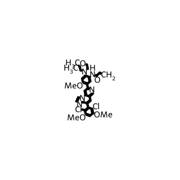 C=CC(=O)Nc1cc(-c2cc3c(cn2)cc(-c2c(Cl)c(OC)cc(OC)c2Cl)c2nccn23)c(OC)cc1N1CCOC(C)(C)C1